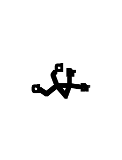 ClCC1(CCl)CC1(Br)Br